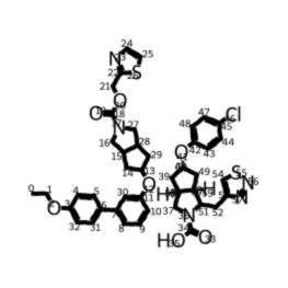 CCOc1ccc(-c2cccc(OC3CC4CN(C(=O)OCc5nccs5)CC4C3)c2)cc1.O=C(O)N1C[C@@H]2C[C@H](Oc3ccc(Cl)cc3)C[C@@H]2C1Cc1csnn1